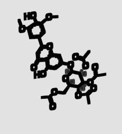 COc1cc(-c2cc(=O)c3c(O)cc(O[C@@H]4O[C@H](COC(C)=O)[C@H](OC(C)=O)[C@H](OC(C)=O)[C@H]4OC(C)=O)cc3o2)cc(OC)c1O